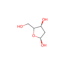 OCC1O[C@H](O)C[C@@H]1O